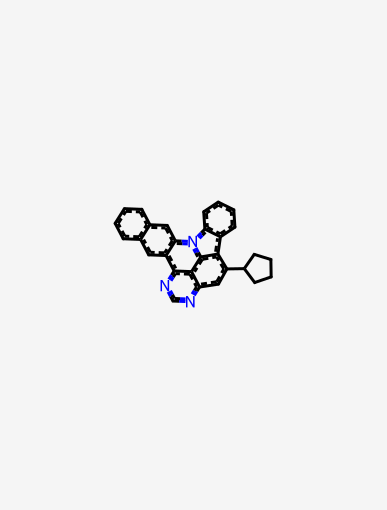 c1ccc2cc3c(cc2c1)c1ncnc2cc(C4CCCC4)c4c5ccccc5n3c4c21